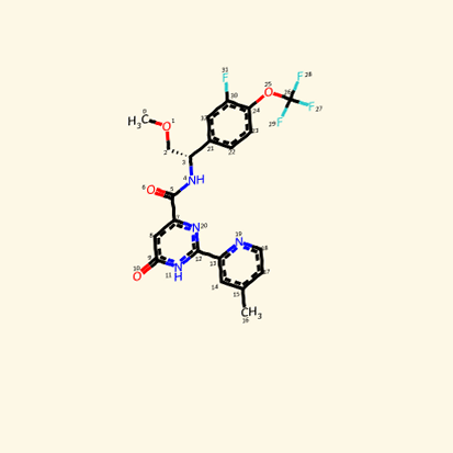 COC[C@@H](NC(=O)c1cc(=O)[nH]c(-c2cc(C)ccn2)n1)c1ccc(OC(F)(F)F)c(F)c1